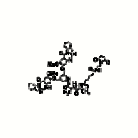 COc1cc2c(cc1OCc1cc(COc3cc4c(cc3OC)C(=O)N3c5ccccc5C[C@H]3CN4)cc(NC(=O)C(C)NC(=O)C(C)NC(=O)CCCCC(=O)NCCN3C(=O)C#CC3=O)c1)N=C[C@@H]1Cc3ccccc3N1C2=O